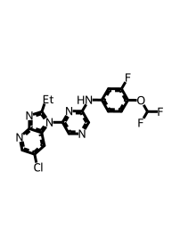 CCc1nc2ncc(Cl)cc2n1-c1cncc(Nc2ccc(OC(F)F)c(F)c2)n1